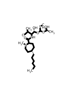 CCCCCC[C@H]1CCC(C(=O)NC(C(C)Cl)[C@H](O)OC(O[C@H](C)O)SC)N(C)CC1